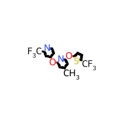 Cc1cc(Oc2ccnc(C(F)(F)F)c2)nc(Oc2ccc(C(F)(F)F)s2)c1